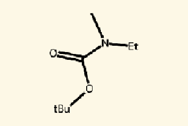 [CH2]CN(C)C(=O)OC(C)(C)C